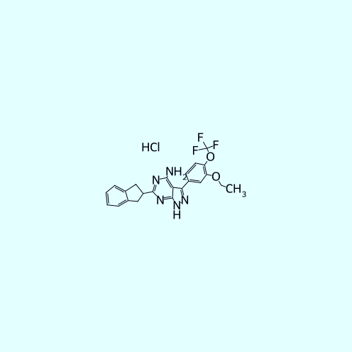 CCOc1cc(-c2n[nH]c3nc(C4Cc5ccccc5C4)nc(N)c23)ccc1OC(F)(F)F.Cl